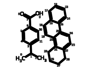 CC(C)c1ccc(C(=O)O)cc1.c1ccc2c(c1)ccc1c3c(ccc12)CCCC3